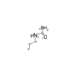 BC(=O)NCCC